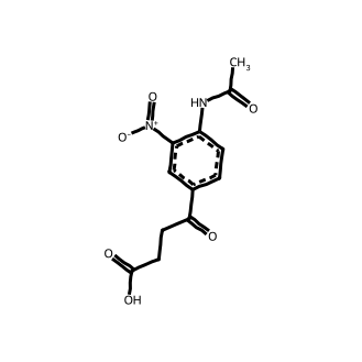 CC(=O)Nc1ccc(C(=O)CCC(=O)O)cc1[N+](=O)[O-]